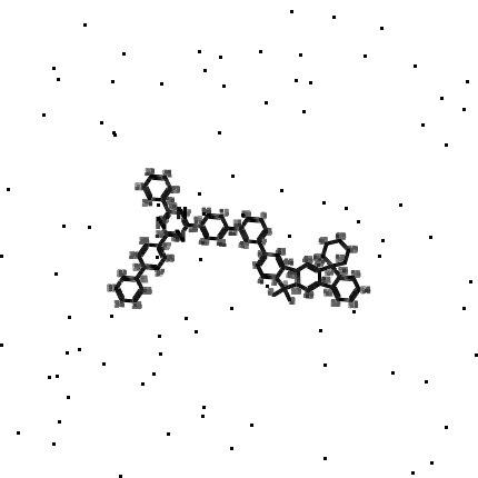 CC1(C)c2ccc(-c3cccc(-c4ccc(-c5nc(-c6ccccc6)nc(-c6ccc(-c7ccccc7)cc6)n5)cc4)c3)cc2-c2cc3c(cc21)-c1ccccc1C31CCCCC1